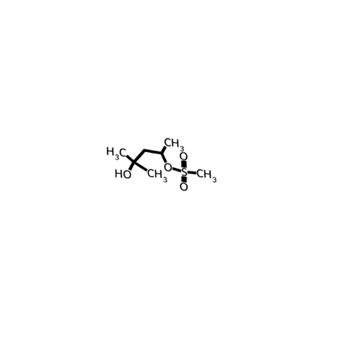 CC(CC(C)(C)O)OS(C)(=O)=O